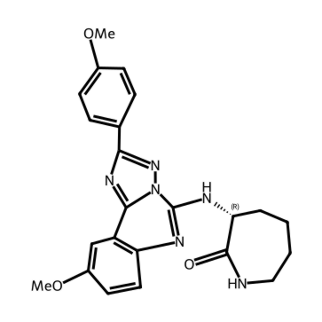 COc1ccc(-c2nc3c4cc(OC)ccc4nc(N[C@@H]4CCCCNC4=O)n3n2)cc1